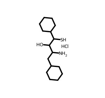 Cl.NC(CC1CCCCC1)C(O)C(S)C1CCCCC1